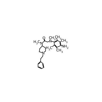 Cc1c(C)c(N(C)CC(=O)N(C)C2CCN(CCc3ccccc3)CC2)c(C)c(C)c1N